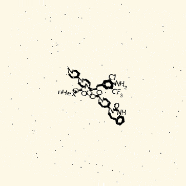 CCCCCCOC(=O)[C@@H]1CN(C2CCN(C)CC2)CCN1C(=O)[C@@H](Cc1cc(Cl)c(N)c(C(F)(F)F)c1)OC(=O)N1CCC(N2CCc3ccccc3NC2=O)CC1